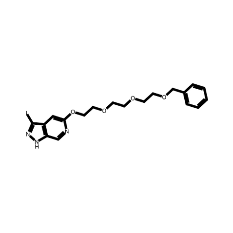 Ic1n[nH]c2cnc(OCCOCCOCCOCc3ccccc3)cc12